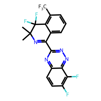 CC1(C)N=C(c2nnc3c(F)c(F)ccc3n2)c2cccc(C(F)(F)F)c2C1(F)F